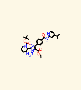 CCOC(=O)c1c(-c2ccc(C(=O)Nc3cc(C(C)C)ccn3)cc2)nc(C2CCCCN2C(=O)OC(C)(C)C)n1N